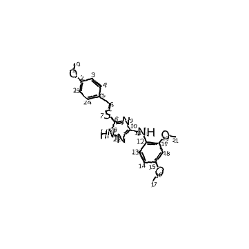 COc1ccc(CSc2nc(Nc3ccc(OC)cc3OC)n[nH]2)cc1